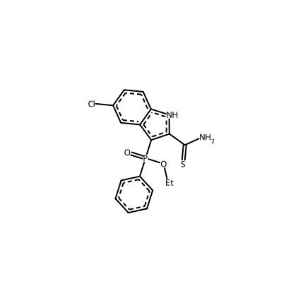 CCOP(=O)(c1ccccc1)c1c(C(N)=S)[nH]c2ccc(Cl)cc12